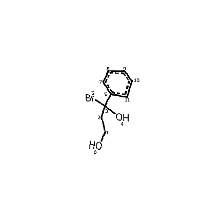 OCCC(O)(Br)c1ccccc1